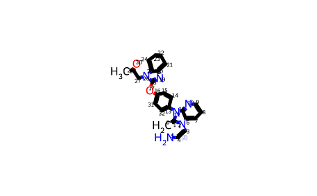 C=C1N(/C=C\N)c2cccnc2N1c1ccc(Oc2nc3ccccc3n2CC(C)=O)cc1